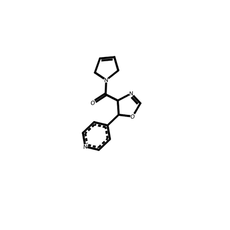 O=C(C1N=COC1c1ccncc1)N1CC=CC1